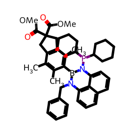 COC(=O)C1(C(=O)OC)Cc2c(C)c(C)c(B3N(Cc4ccccc4)c4cccc5cccc(c45)N3P(C3CCCCC3)C3CCCCC3)c(C)c2C1